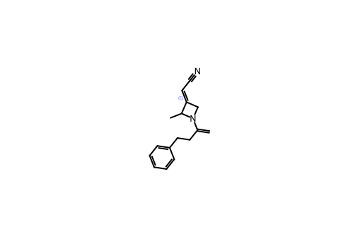 C=C(CCc1ccccc1)N1C/C(=C\C#N)C1C